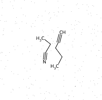 C#CCCC.CCC#N